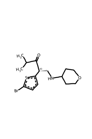 CC(C)C(=O)[C@H](CNC1CCOCC1)c1ccc(Br)s1